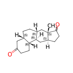 C[C@]12C[C@H]3CC[C@H]4CC(=O)CC[C@H]4[C@@H]3C[C@@H]1CCC2=O